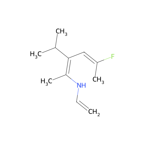 C=CN/C(C)=C(\C=C(/C)F)C(C)C